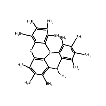 Bc1c(B)c(B)c2c(c1B)Oc1c(B)c(B)c(B)c3c1B2c1c(B)c(B)c(B)c(B)c1N3C